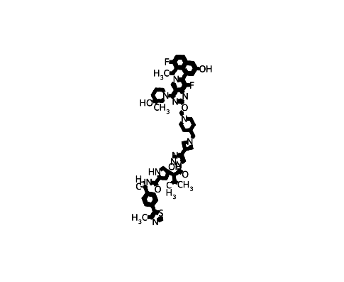 CCc1c(F)ccc2cc(O)cc(-c3ncc4c(N5CCC[C@@](C)(O)C5)nc(OCN5CCC(CN6CC(c7cn(C(=O)C(C(C)C)C8(O)CNC(C(=O)N[C@@H](C)c9ccc(-c%10scnc%10C)cc9)C8)nn7)C6)CC5)nc4c3F)c12